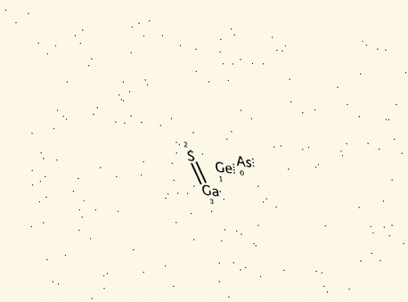 [As].[Ge].[S]=[Ga]